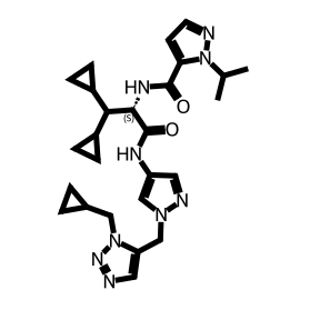 CC(C)n1nccc1C(=O)N[C@H](C(=O)Nc1cnn(Cc2cnnn2CC2CC2)c1)C(C1CC1)C1CC1